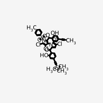 CC#Cc1ccc(C(=O)c2c(-n3c(C(=O)c4ccc(C#C[Si](C)(C)C)cc4O)cc(Cl)c3Cl)c(Cl)c(Cl)n2S(=O)(=O)c2ccc(C)cc2)c(O)c1